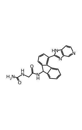 NC(=O)NCC(=O)NC1c2ccccc2-c2c(-c3nc4cnccc4[nH]3)cccc21